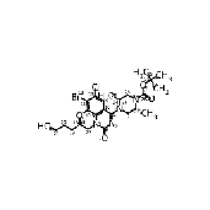 C[C@@H]1CN(c2nc(=O)n3c4c(c(Br)c(Cl)cc24)O[C@H](CCCO)C3)[C@@H](C)CN1C(=O)OC(C)(C)C